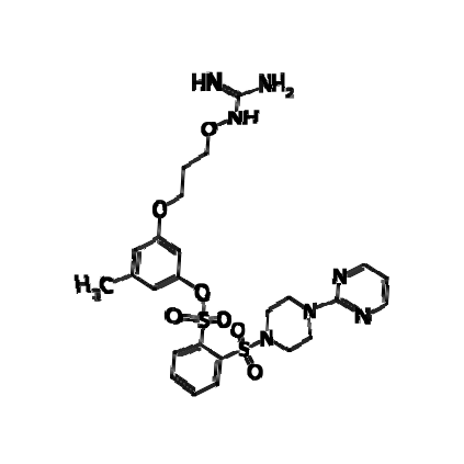 Cc1cc(OCCCONC(=N)N)cc(OS(=O)(=O)c2ccccc2S(=O)(=O)N2CCN(c3ncccn3)CC2)c1